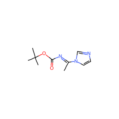 C/C(=N\C(=O)OC(C)(C)C)n1ccnc1